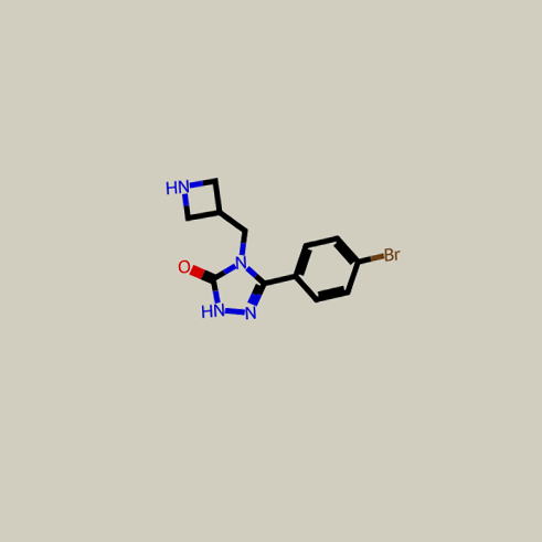 O=c1[nH]nc(-c2ccc(Br)cc2)n1CC1CNC1